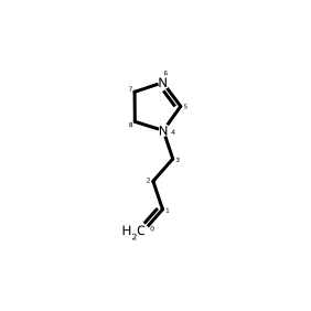 C=CCCN1C=NCC1